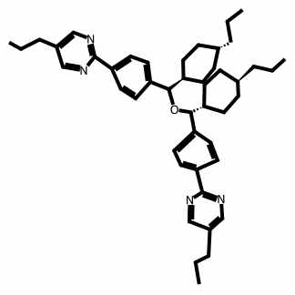 CCCc1cnc(-c2ccc(C(OC(c3ccc(-c4ncc(CCC)cn4)cc3)[C@H]3CC[C@H](CCC)CC3)[C@H]3CC[C@H](CCC)CC3)cc2)nc1